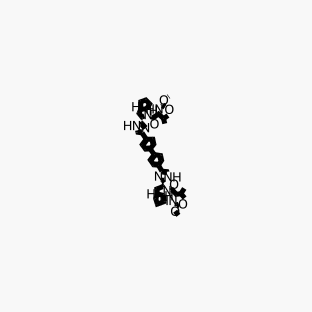 COC(=O)N[C@H](C(=O)N1[C@@H]2CCC[C@@H]2C[C@H]1c1nc(-c2ccc(-c3ccc(-c4c[nH]c([C@@H]5C[C@H]6CCC[C@H]6N5C(=O)[C@@H](NC(=O)OC)C(C)C)n4)cc3)cc2)c[nH]1)C(C)C